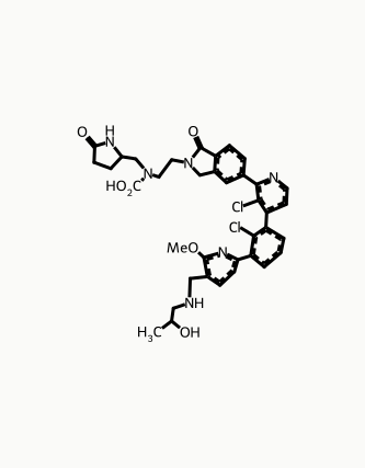 COc1nc(-c2cccc(-c3ccnc(-c4ccc5c(c4)CN(CCN(CC4CCC(=O)N4)C(=O)O)C5=O)c3Cl)c2Cl)ccc1CNCC(C)O